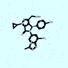 COCc1nn(C2CC2)c2c1[C@@H](c1ccc(O)cc1)N(c1cc(N)c3nnc(C)n3c1)C2=O